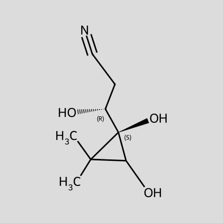 CC1(C)C(O)[C@@]1(O)[C@H](O)CC#N